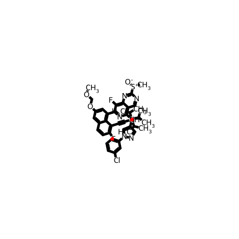 COCOc1cc(-c2nc(Nc3cnn(-c4cccc(Cl)c4)c3)c3cnc([S+](C)[O-])nc3c2F)c2c(C#C[Si](C(C)C)(C(C)C)C(C)C)c(F)ccc2c1